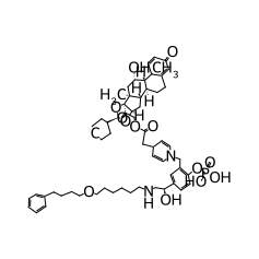 C[C@]12C=CC(=O)C=C1CC[C@@H]1[C@@H]2[C@@H](O)C[C@@]2(C)[C@H]1C[C@H]1O[C@@H](C3CCCCC3)O[C@]12C(=O)COC(=O)CC1C=CN(Cc2cc([C@@H](O)CNCCCCCCOCCCCc3ccccc3)ccc2OP(=O)(O)O)C=C1